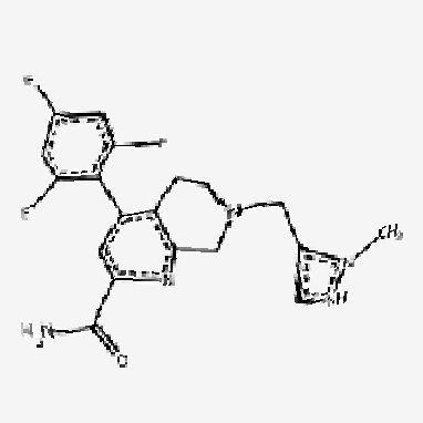 Cn1[nH]cc1CN1CCc2c(-c3c(F)cc(F)cc3F)cc(C(N)=O)nc2C1